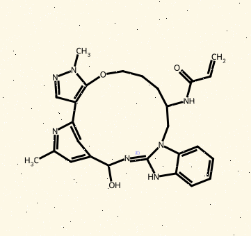 C=CC(=O)NC1CCCOc2c(cnn2C)-c2cc(cc(C)n2)C(O)/N=C2\Nc3ccccc3N2C1